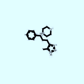 C1COCCN1.Cc1[nH]nnc1CCCc1ccccc1